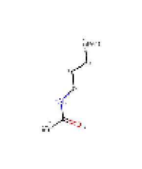 CCCCCCCCNC(=O)C(C)C